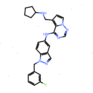 Fc1cccc(Cn2ncc3cc(Nc4ncnn5ccc(CNC6CCCC6)c45)ccc32)c1